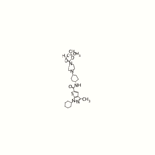 Cc1nn(C2CCCCC2)c2sc(C(=O)N[C@H]3CC[C@H](N4CCN(C(=O)OC(C)(C)C)CC4)CC3)cc12